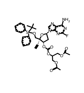 C#C[C@]1(CO[Si](c2ccccc2)(c2ccccc2)C(C)(C)C)O[C@@H](n2cnc3c(N)nc(F)nc32)C[C@@H]1OC(=O)OC(COC(C)=O)COC(C)=O